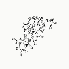 O=P1(c2ccccc2)c2c(-c3c4ccccc4c(-c4cccc5cccnc45)c4ccccc34)cccc2-n2c(-c3ccccc3)nc3cccc1c32